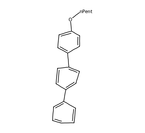 CCCCCOc1ccc(-c2ccc(-c3cc[c]cc3)cc2)cc1